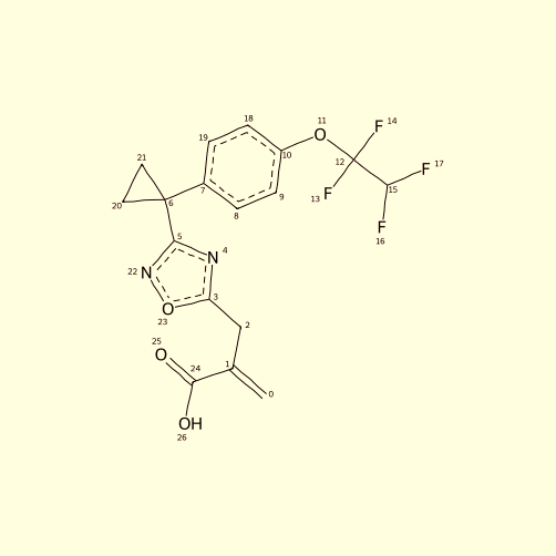 C=C(Cc1nc(C2(c3ccc(OC(F)(F)C(F)F)cc3)CC2)no1)C(=O)O